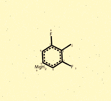 [CH2]c1c(F)cccc1F.[MgH2]